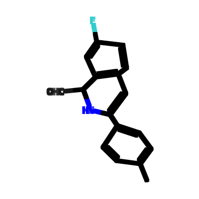 Cc1ccc(C2=Cc3ccc(F)cc3C(C=O)N2)cc1